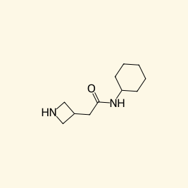 O=C(CC1CNC1)NC1CCCCC1